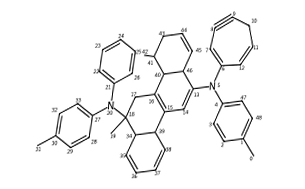 Cc1ccc(N(C2=CC#CCC=C2)C2=CC3=C(CC(C)(N(c4ccccc4)c4ccc(C)cc4)C4C=CC=CC34)C3C(C)CC=CC23)cc1